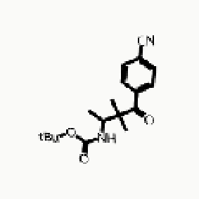 CC(NC(=O)OC(C)(C)C)C(C)(C)C(=O)c1ccc(C#N)cc1